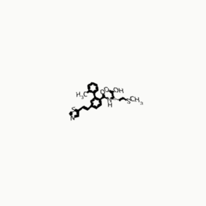 CSCC[C@H](NC(=O)c1ccc(C=Cc2cncs2)cc1-c1ccccc1C)C(=O)O